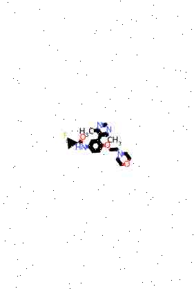 Cc1ncnc(C)c1-c1cc(NC(=O)[C@@H]2C[C@@H]2F)ccc1OCCN1CCOCC1